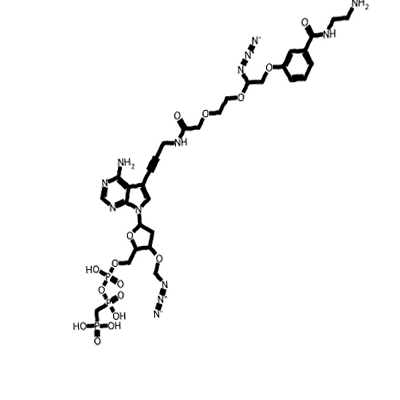 [N-]=[N+]=NCOC1CC(n2cc(C#CCNC(=O)COCCOC(COc3cccc(C(=O)NCCN)c3)N=[N+]=[N-])c3c(N)ncnc32)OC1COP(=O)(O)OP(=O)(O)CP(=O)(O)O